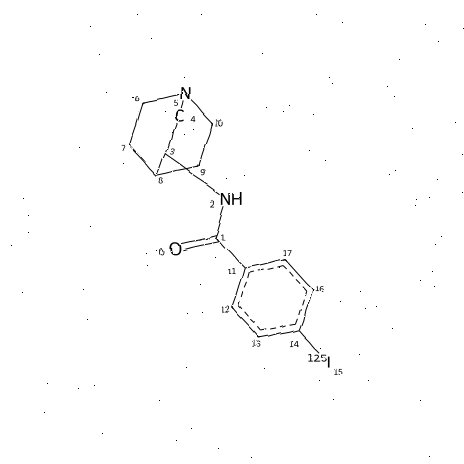 O=C(NC1CN2CCC1CC2)c1ccc([125I])cc1